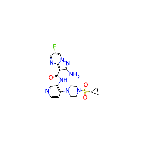 Nc1nn2cc(F)cnc2c1C(=O)Nc1cnccc1N1CCN(S(=O)(=O)C2CC2)CC1